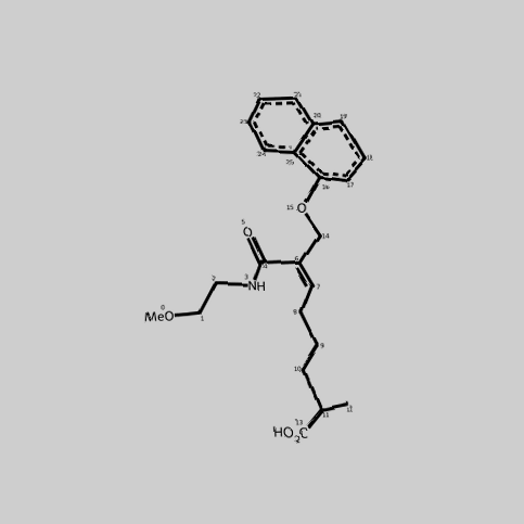 COCCNC(=O)C(=CCCCC(C)C(=O)O)COc1cccc2ccccc12